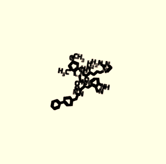 COc1cc(C)c(C[C@H](NC(=O)[C@H](N)CCCn2ccnc2N)C(=O)N[C@@H](Cc2cccc3[nH]ncc23)c2nc(Cc3ccc(-c4ccccc4)cc3)no2)c(C)c1